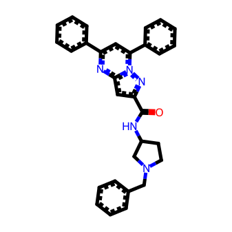 O=C(NC1CCN(Cc2ccccc2)C1)c1cc2nc(-c3ccccc3)cc(-c3ccccc3)n2n1